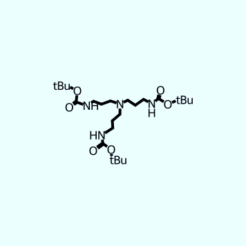 CC(C)(C)OC(=O)NCCCN(CCCNC(=O)OC(C)(C)C)CCCNC(=O)OC(C)(C)C